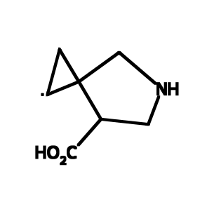 O=C(O)C1CNCC12[CH]C2